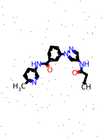 C#CCC(=O)Nc1cnn(-c2cccc(C(=O)Nc3ccc(C)nc3)c2)c1